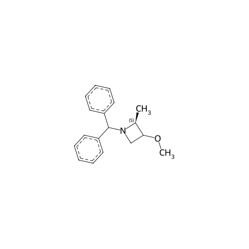 COC1CN(C(c2ccccc2)c2ccccc2)[C@H]1C